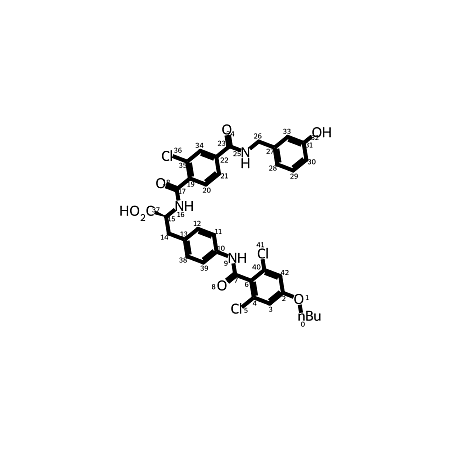 CCCCOc1cc(Cl)c(C(=O)Nc2ccc(C[C@H](NC(=O)c3ccc(C(=O)NCc4cccc(O)c4)cc3Cl)C(=O)O)cc2)c(Cl)c1